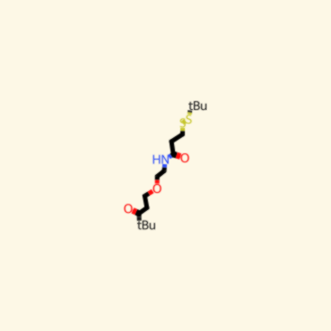 CC(C)(C)SSCCC(=O)NCCOCCC(=O)C(C)(C)C